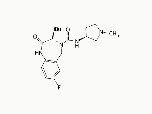 CC[C@H](C)[C@H]1C(=O)Nc2ccc(F)cc2CN1C(=O)N[C@H]1CCN(C)C1